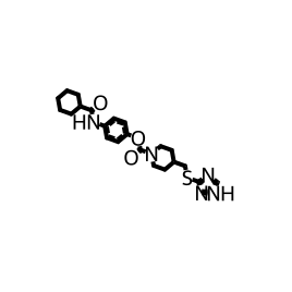 O=C(Nc1ccc(OC(=O)N2CCC(CSc3nc[nH]n3)CC2)cc1)C1CCCCC1